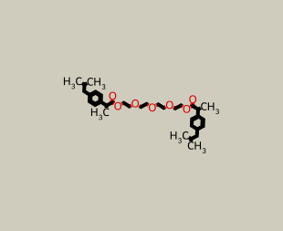 CC(C)Cc1ccc(C(C)C(=O)OCCOCCOCCOCCOC(=O)C(C)C2=CCC(CC(C)C)C=C2)cc1